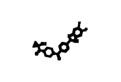 O=C(c1ccc(-c2nc3cc(F)c(F)cc3[nH]2)cc1)N1CCN(C(=O)C2(O)CC2)CC1